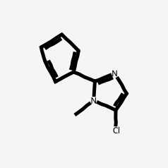 Cn1c(Cl)cnc1-c1ccccc1